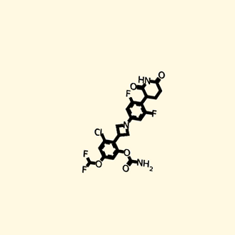 NC(=O)Oc1cc(OC(F)F)cc(Cl)c1C1CN(c2cc(F)c(C3CCC(=O)NC3=O)c(F)c2)C1